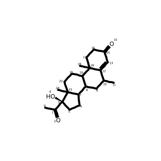 CC(=O)[C@@]1(O)CCC2C3CC(C)C4=CC(=O)CCC4(C)C3CCC21C